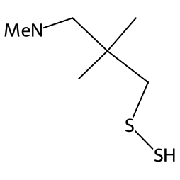 CNCC(C)(C)CSS